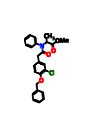 COC(=O)C(C)N(C(=O)Cc1ccc(OCc2ccccc2)c(Cl)c1)c1ccccc1